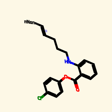 CCCCCCCCC/C=C/CCCNc1ccccc1C(=O)Oc1ccc(Cl)cc1